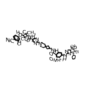 CC[C@@H]1C(=O)N(C)c2cnc(Nc3ccc(C(=O)NC4CC5(CCN(c6ncc(C(=O)NC7C(C)(C)C(Oc8ccc(C#N)c(Cl)c8)C7(C)C)cn6)CC5)C4)cc3OC)nc2N1C1CCCC1